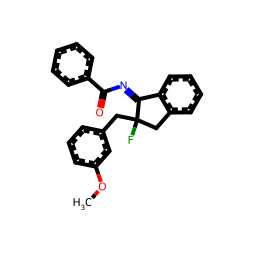 COc1cccc(CC2(F)Cc3ccccc3C2=NC(=O)c2ccccc2)c1